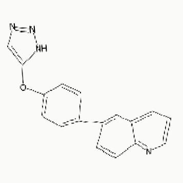 c1cnc2ccc(-c3ccc(Oc4cnn[nH]4)cc3)cc2c1